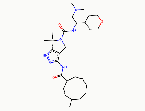 CC1CCCCCC(C(=O)Nc2n[nH]c3c2CN(C(=O)NC(CN(C)C)C2CCOCC2)C3(C)C)CC1